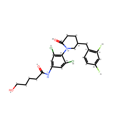 O=C(CCCCO)Nc1cc(Cl)c(N2CC(Cc3ccc(F)cc3F)CCC2=O)c(Cl)c1